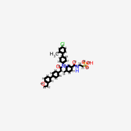 Cc1cc(Cl)ccc1-c1ccc(NC(=O)[C@H](Cc2ccc(C(=O)NCCS(=O)(=O)O)cc2)c2ccc(-c3ccc4c(c3)CCO4)cc2)cc1